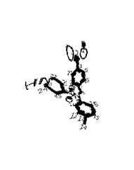 COC(=O)c1ccc(CN(c2ccc(C)cc2)S(=O)(=O)C2CCNCC2)cc1